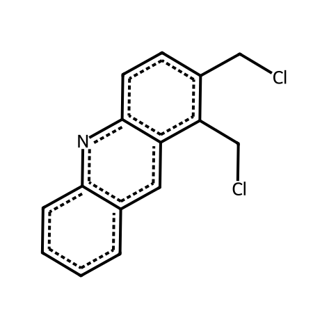 ClCc1ccc2nc3ccccc3cc2c1CCl